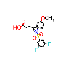 COc1ccc2c(c1)c(CCC(=O)O)cn2S(=O)(=O)c1cc(F)cc(F)c1